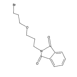 O=C1c2ccccc2C(=O)N1CCCOCCCBr